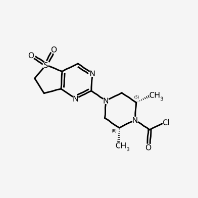 C[C@@H]1CN(c2ncc3c(n2)CCS3(=O)=O)C[C@H](C)N1C(=O)Cl